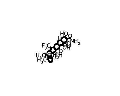 CN(Cc1cc(O)c2c(c1C(F)(F)F)CC1C[C@H]3CC(O)=C(C(N)=O)C(=O)[C@@]3(O)C(O)=C1C2=O)[C@H]1CC2CCC1(C)C2(C)C